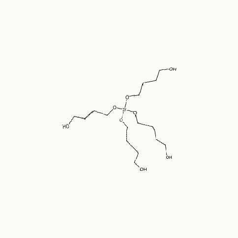 OCCCC[O][Zr]([O]CCCCO)([O]CCCCO)[O]CCCCO